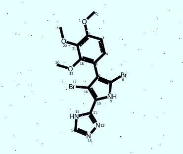 COc1ccc(-c2c(Br)[nH]c(-c3nnc[nH]3)c2Br)c(OC)c1OC